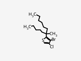 CCCCCCC(C)(CCCCC)c1scc(Cl)c1Br